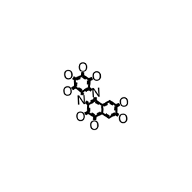 O=c1cc2c(=O)c(=O)c3nc4c(=O)c(=O)c(=O)c(=O)c4nc3c-2cc1=O